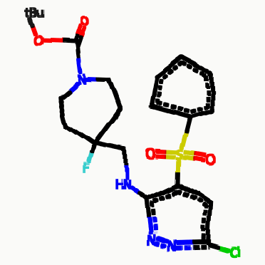 CC(C)(C)OC(=O)N1CCC(F)(CNc2nnc(Cl)cc2S(=O)(=O)c2ccccc2)CC1